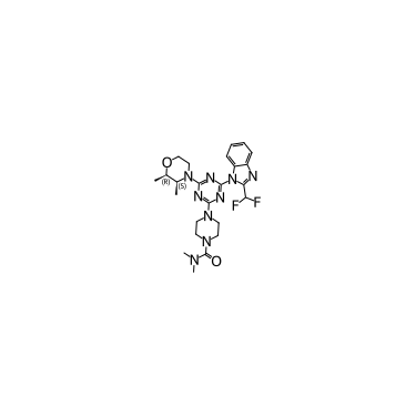 C[C@H]1OCCN(c2nc(N3CCN(C(=O)N(C)C)CC3)nc(-n3c(C(F)F)nc4ccccc43)n2)[C@H]1C